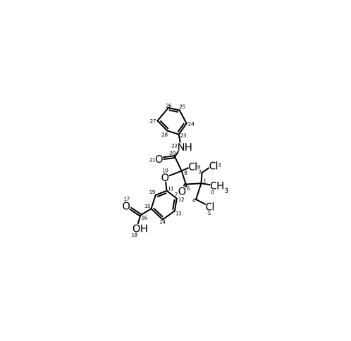 CC(CCl)(CCl)C(=O)C(Cl)(Oc1cccc(C(=O)O)c1)C(=O)Nc1ccccc1